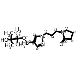 CC(C)(O)C(C)(C)OBc1cnn(CCCN2CCCC2=O)c1